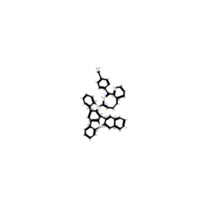 N#Cc1ccc(/C2=N/C(n3c4ccccc4c4cc5c6ccccc6n6c7cc8ccccc8cc7c(c43)c56)=C\CCc3cccnc32)cc1